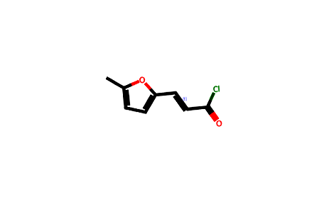 Cc1ccc(/C=C/C(=O)Cl)o1